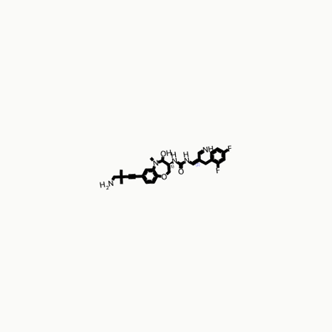 CN1c2cc(C#CC(C)(C)CN)ccc2OC[C@H](NC(=O)N/C=C(\C=N)Cc2ccc(F)cc2F)C1O